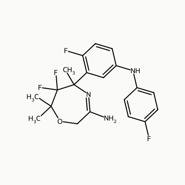 CC1(C)OCC(N)=NC(C)(c2cc(Nc3ccc(F)cc3)ccc2F)C1(F)F